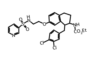 CCOC(=O)NC1CCc2ccc(OCCNS(=O)(=O)c3cccnc3)cc2C1Cc1ccc(Cl)c(Cl)c1